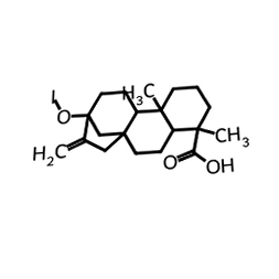 C=C1CC23CCC4C(C)(C(=O)O)CCCC4(C)C2CCC1(OI)C3